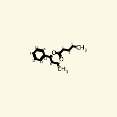 CCC[CH]C(=O)OC(CCC)c1ccccc1